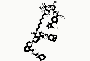 Cc1ncsc1-c1ccc([C@H](C)NC(=O)[C@@H]2C[C@@H](O)CN2C(=O)[C@@H](NC(=O)CCCCCCCNC(=O)c2nc(N3CCc4cccc(C(=O)Nc5nc6ccccc6s5)c4C3)ccc2-c2cnn(CC3(C)CC4CC5CC(C3)C54)c2C)C(C)(C)C)cc1